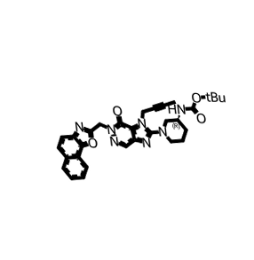 CC#CCn1c(N2CCC[C@@H](NC(=O)OC(C)(C)C)C2)nc2cnn(Cc3nc4ccc5ccccc5c4o3)c(=O)c21